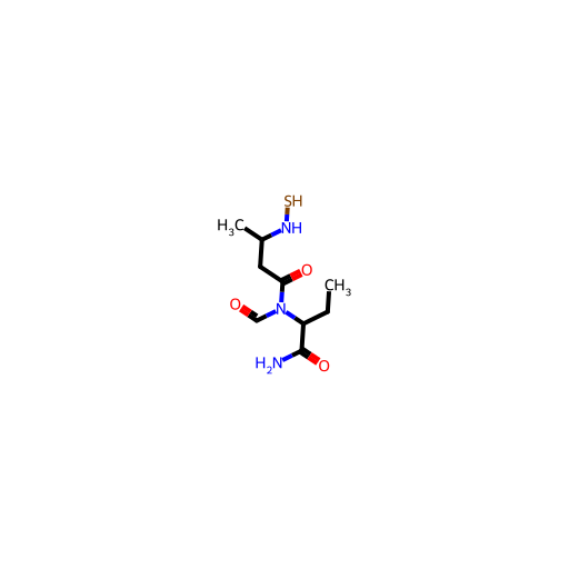 CCC(C(N)=O)N(C=O)C(=O)CC(C)NS